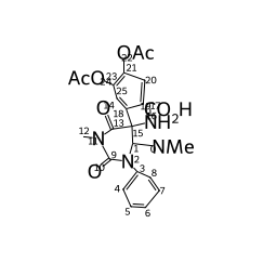 CNC1N(c2ccccc2)C(=O)N(C)C(=O)C1(NC(=O)O)c1ccc(OC(C)=O)c(OC(C)=O)c1